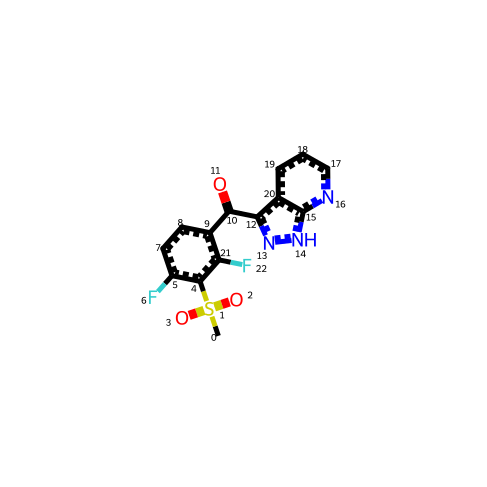 CS(=O)(=O)c1c(F)ccc(C(=O)c2n[nH]c3ncccc23)c1F